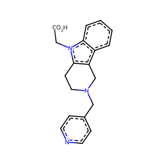 O=C(O)Cn1c2c(c3ccccc31)CN(Cc1ccncc1)CC2